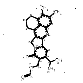 Cc1cc2nc3c(c4c2c(c1C)CCC4)Cn1c-3cc(C(C)O)c(COC=O)c1=O